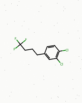 FC(F)(F)CCCc1ccc(Cl)c(Cl)c1